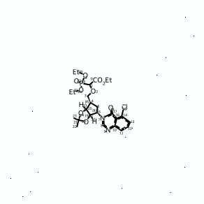 CCOC(=O)C(OC[C@H]1C[C@@H](n2cnc3cccc(Cl)c3c2=O)[C@@H]2OC(C)(C)O[C@H]12)P(=O)(OCC)OCC